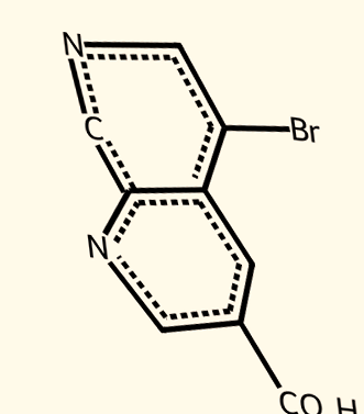 O=C(O)c1cnc2cncc(Br)c2c1